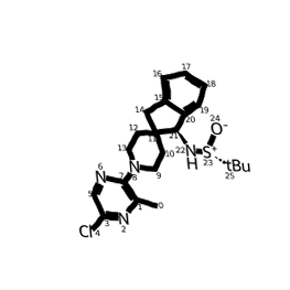 Cc1nc(Cl)cnc1N1CCC2(CC1)Cc1ccccc1[C@H]2N[S@+]([O-])C(C)(C)C